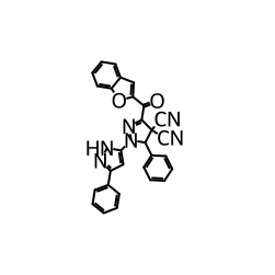 N#CC1(C#N)C(C(=O)c2cc3ccccc3o2)=NN(c2cc(-c3ccccc3)n[nH]2)C1c1ccccc1